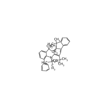 CC(C)(C)c1cc2c(cc1N(c1c(-c3ccccc3)cccc1C(C)(C)C)C(C)(C)C)C(C)(C)c1ccccc1-2